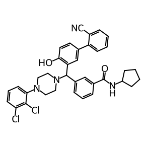 N#Cc1ccccc1-c1ccc(O)c(C(c2cccc(C(=O)NC3CCCC3)c2)N2CCN(c3cccc(Cl)c3Cl)CC2)c1